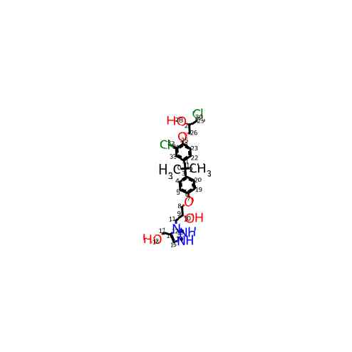 CC(C)(c1ccc(OC[C@H](O)CN2NNC=C2CO)cc1)c1ccc(OC[C@@H](O)CCl)c(Cl)c1